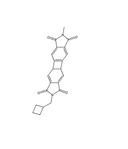 CN1C(=O)c2cc3c(cc2C1=O)C1C=C2C(=O)N(CC4CCC4)C(=O)C2=CC31